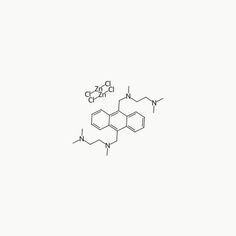 CN(C)CCN(C)Cc1c2ccccc2c(CN(C)CCN(C)C)c2ccccc12.[Cl][Zn][Cl].[Cl][Zn][Cl]